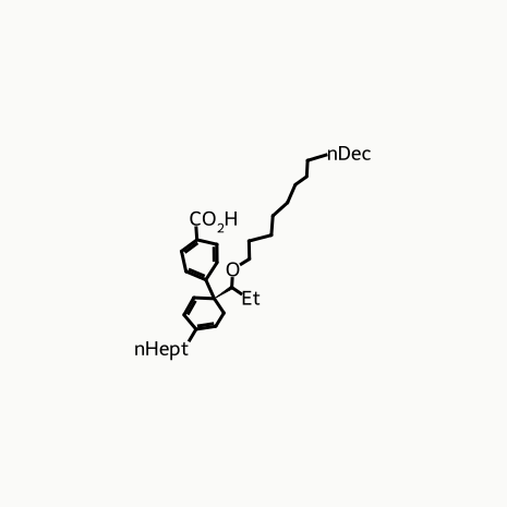 CCCCCCCCCCCCCCCCCCOC(CC)[C@]1(c2ccc(C(=O)O)cc2)C=CC(CCCCCCC)=CC1